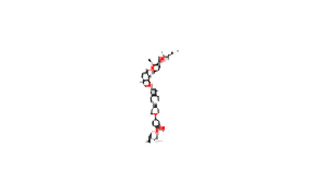 CN(CCO)S(=O)(=O)Nc1ccc(F)c(Oc2ccc3ncc(C4COC5(CCN(C6CCC(c7cc8c(cc7F)c(N7CCC(=O)NC7=O)nn8C)CC6)CC5)C4)nc3c2)c1C#N